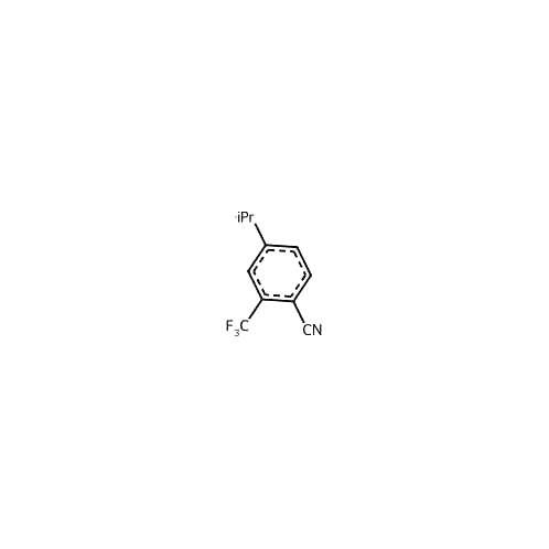 C[C](C)c1ccc(C#N)c(C(F)(F)F)c1